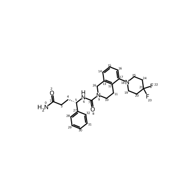 NC(=O)CC[C@H](NC(=O)N1CCc2c(cccc2N2CCC(F)(F)CC2)C1)c1ccccc1